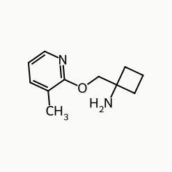 Cc1cccnc1OCC1(N)CCC1